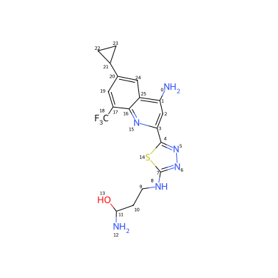 Nc1cc(-c2nnc(NCCC(N)O)s2)nc2c(C(F)(F)F)cc(C3CC3)cc12